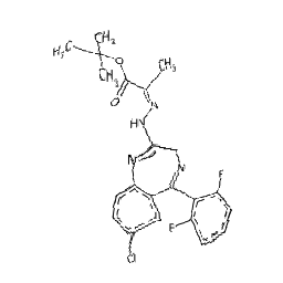 CC(=NNC1=Nc2ccc(Cl)cc2C(c2c(F)cccc2F)=NC1)C(=O)OC(C)(C)C